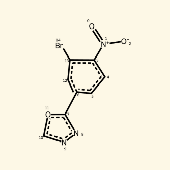 O=[N+]([O-])c1ccc(-c2nnco2)cc1Br